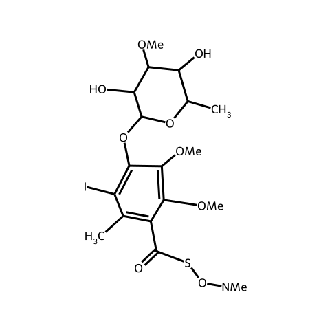 CNOSC(=O)c1c(C)c(I)c(OC2OC(C)C(O)C(OC)C2O)c(OC)c1OC